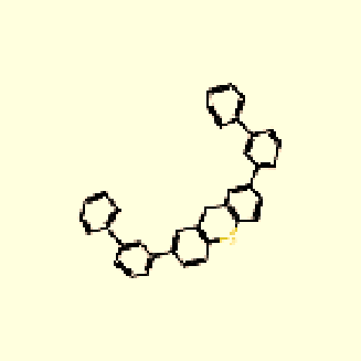 c1ccc(-c2cccc(-c3ccc4c(c3)Cc3cc(-c5cccc(-c6ccccc6)c5)ccc3S4)c2)cc1